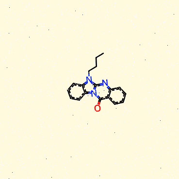 CCCCn1c2ccccc2n2c(=O)c3ccccc3nc12